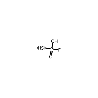 O=P(O)(F)[SiH]